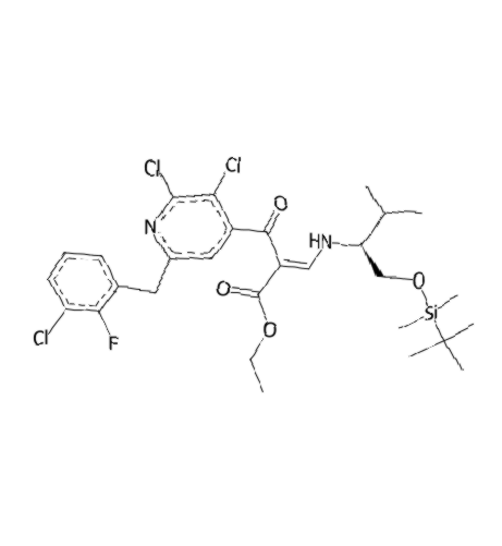 CCOC(=O)/C(=C/N[C@H](CO[Si](C)(C)C(C)(C)C)C(C)C)C(=O)c1cc(Cc2cccc(Cl)c2F)nc(Cl)c1Cl